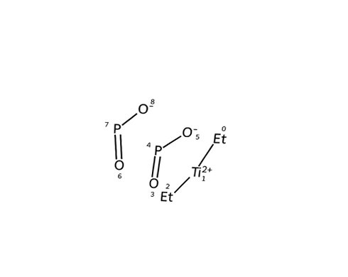 C[CH2][Ti+2][CH2]C.O=P[O-].O=P[O-]